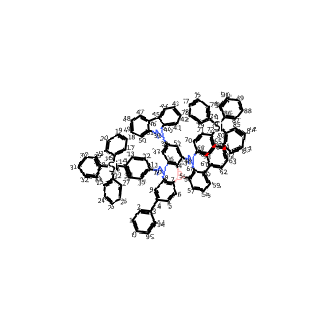 c1ccc(-c2ccc3c(c2)N(c2ccc([Si](c4ccccc4)(c4ccccc4)c4ccccc4)cc2)c2cc(-n4c5ccccc5c5ccccc54)cc4c2B3c2cccc(-c3ccccc3)c2N4c2ccc([Si](c3ccccc3)(c3ccccc3)c3ccccc3)cc2)cc1